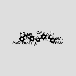 COc1ccc(C(O)C(C)Oc2ccc([C@H]3OC(c4ccc(O[C@H](C)[C@H](O)c5ccc(OC)c(OC)c5)c(OC)c4)C[C@H]3C)cc2OC)cc1OC